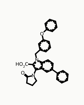 O=C(O)c1c(N2CCCC2=O)c2cc(-c3ccccc3)ccc2n1Cc1cccc(Oc2ccccc2)c1